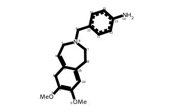 COC1=C(OC)CC2=CCN(Cc3ccc(N)cc3)CCC2=C1